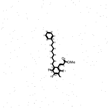 COC(=O)C=Cc1c(F)c(C)c(F)c(F)c1CCCCCCCCc1ccccc1